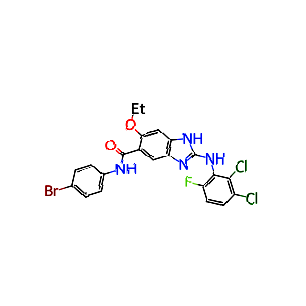 CCOc1cc2[nH]c(Nc3c(F)ccc(Cl)c3Cl)nc2cc1C(=O)Nc1ccc(Br)cc1